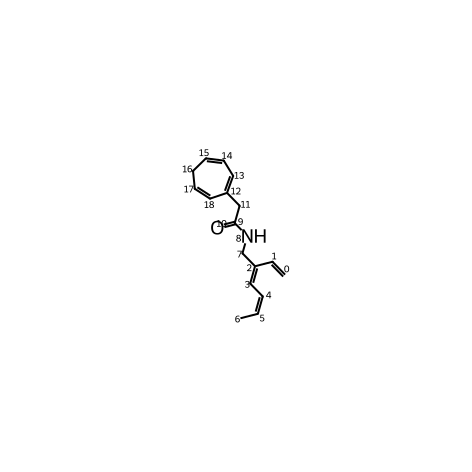 C=C/C(=C\C=C/C)CNC(=O)CC1=CC=CCC=C1